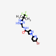 CC(C)(c1n[nH]c(CNC(=O)c2cnn(-c3ccc(Br)cn3)c2)n1)C(F)(F)F